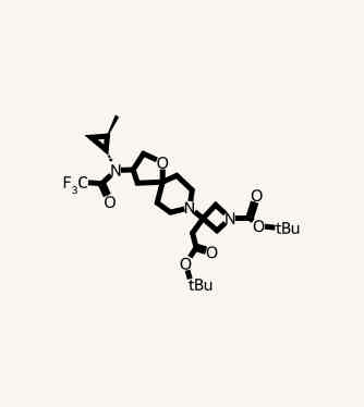 C[C@@H]1C[C@H]1N(C(=O)C(F)(F)F)C1COC2(CCN(C3(CC(=O)OC(C)(C)C)CN(C(=O)OC(C)(C)C)C3)CC2)C1